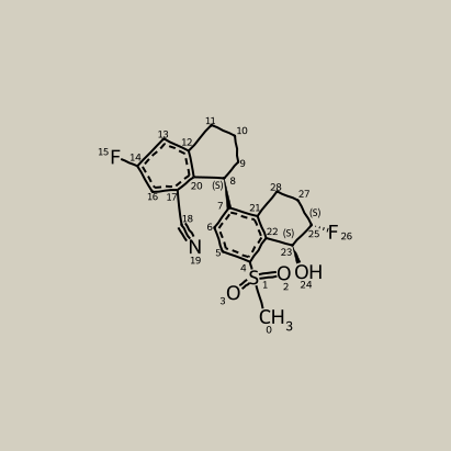 CS(=O)(=O)c1ccc([C@@H]2CCCc3cc(F)cc(C#N)c32)c2c1[C@H](O)[C@@H](F)CC2